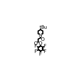 CC(C)(C)C1CCN(C(=O)CC(=O)Oc2c(F)c(F)c(F)c(F)c2F)CC1